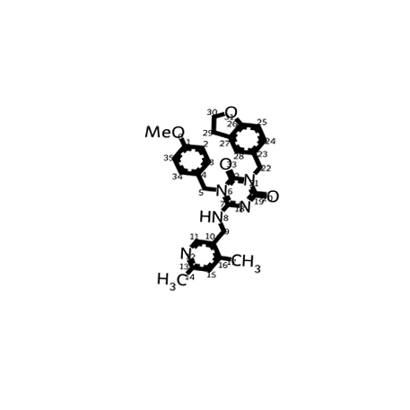 COc1ccc(Cn2c(NCc3cnc(C)cc3C)nc(=O)n(Cc3ccc4c(c3)CCO4)c2=O)cc1